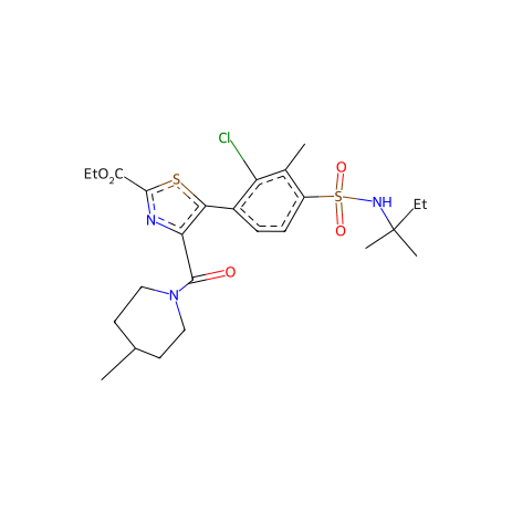 CCOC(=O)c1nc(C(=O)N2CCC(C)CC2)c(-c2ccc(S(=O)(=O)NC(C)(C)CC)c(C)c2Cl)s1